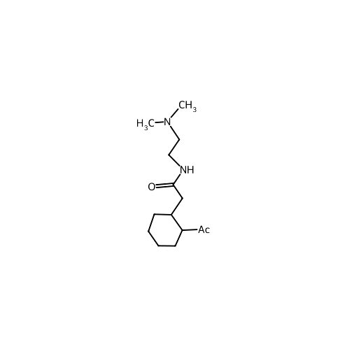 CC(=O)C1CCCCC1CC(=O)NCCN(C)C